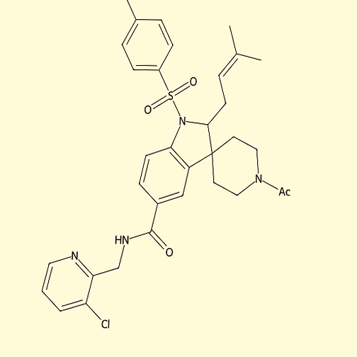 CC(=O)N1CCC2(CC1)c1cc(C(=O)NCc3ncccc3Cl)ccc1N(S(=O)(=O)c1ccc(F)cc1)C2CC=C(C)C